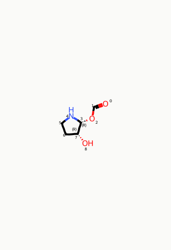 O=CO[C@H]1NCC[C@H]1O